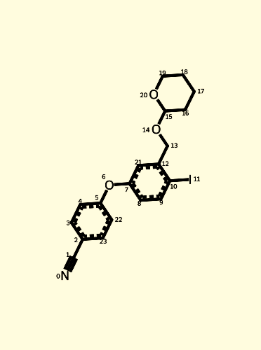 N#Cc1ccc(Oc2ccc(I)c(COC3CCCCO3)c2)cc1